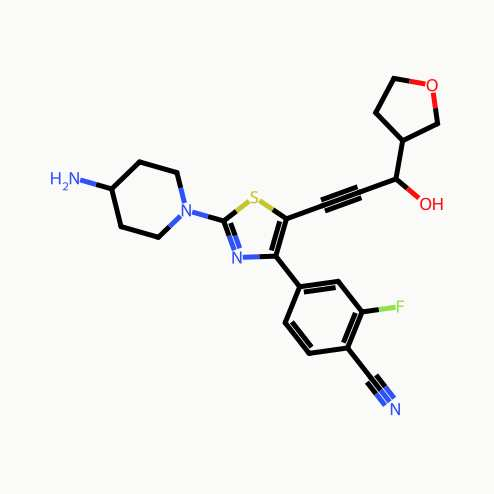 N#Cc1ccc(-c2nc(N3CCC(N)CC3)sc2C#CC(O)C2CCOC2)cc1F